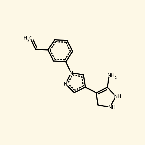 C=Cc1cccc(-n2cc(C3=C(N)NNC3)cn2)c1